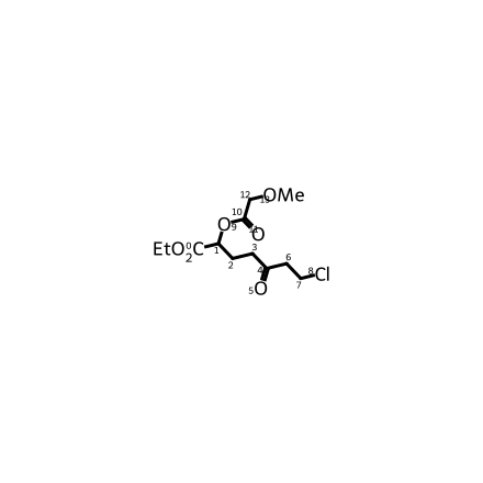 CCOC(=O)C(CCC(=O)CCCl)OC(=O)COC